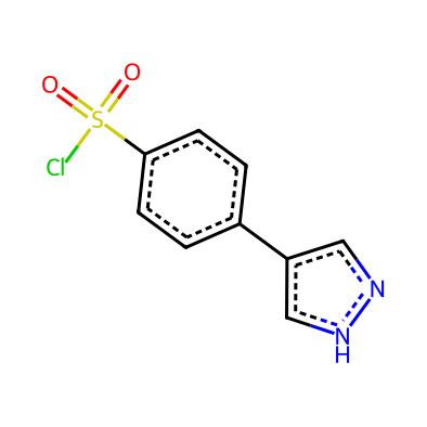 O=S(=O)(Cl)c1ccc(-c2cn[nH]c2)cc1